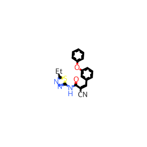 CCc1nnc(NC(=O)C(C#N)=Cc2cccc(Oc3ccccc3)c2)s1